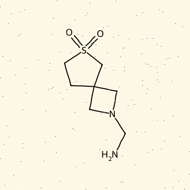 NCN1CC2(CCS(=O)(=O)C2)C1